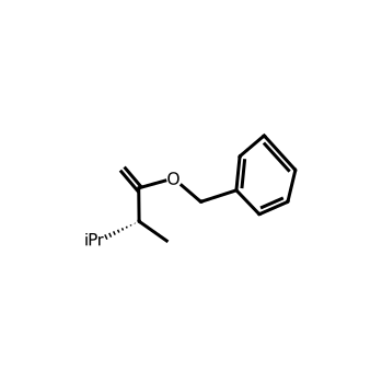 C=C(OCc1ccccc1)[C@H](C)C(C)C